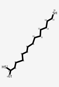 CCC(S)CCCCCCCCCCCCCS